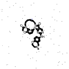 CN1CCOc2ccc(Nc3ncc4c(=O)n5n(c4n3)-c3ccc4c(n3)N(CCC/C=C\C5)C(=O)CO4)cc2C1